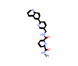 CC(C)NC(=O)c1cccc(C(=O)NCc2ccc(-c3ccc4ncccc4c3)nc2)n1